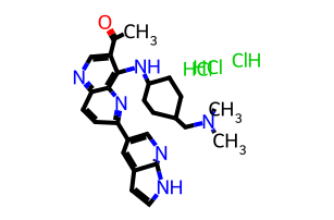 CC(=O)c1cnc2ccc(-c3cnc4[nH]ccc4c3)nc2c1NC1CCC(CN(C)C)CC1.Cl.Cl.Cl